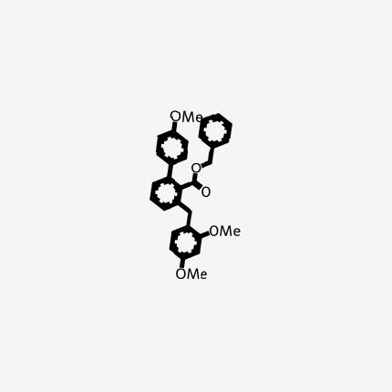 COc1ccc(-c2cccc(Cc3ccc(OC)cc3OC)c2C(=O)OCc2ccccc2)cc1